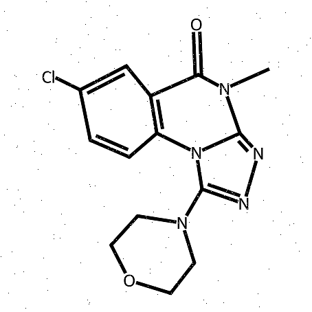 Cn1c(=O)c2cc(Cl)ccc2n2c(N3CCOCC3)nnc12